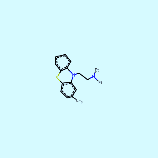 CCN(CC)CCN1c2ccccc2Sc2ccc(C(F)(F)F)cc21